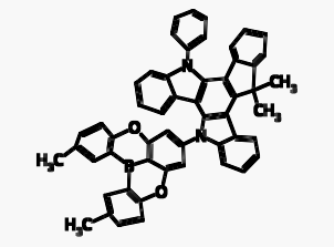 Cc1ccc2c(c1)B1c3cc(C)ccc3Oc3cc(-n4c5ccccc5c5c6c(c7c(c8ccccc8n7-c7ccccc7)c54)-c4ccccc4C6(C)C)cc(c31)O2